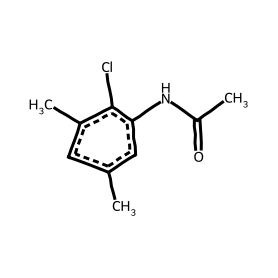 CC(=O)Nc1cc(C)cc(C)c1Cl